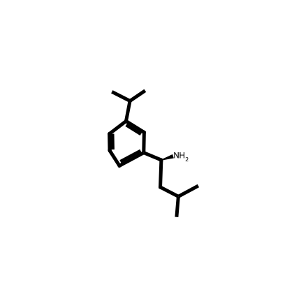 CC(C)C[C@H](N)c1cccc(C(C)C)c1